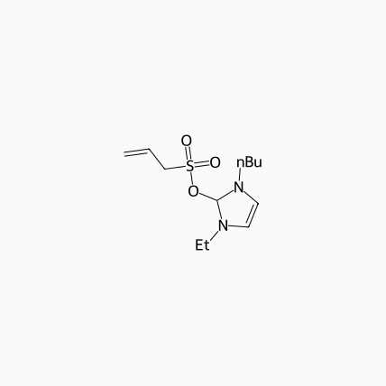 C=CCS(=O)(=O)OC1N(CC)C=CN1CCCC